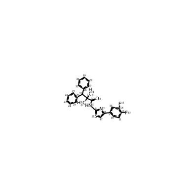 CC(C)(C(=O)Nc1nc(-c2ccc(F)c(F)c2)cs1)C(c1ccccc1)c1ccccc1